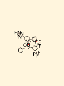 CC(OC[C@@]1(c2ccccc2)CCC(c2nn[nH]n2)CN1C(=O)OCc1ccccc1)c1cc(C(F)(F)F)cc(C(F)(F)F)c1